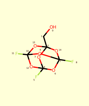 OCC12OC3(F)OC(F)(OC(F)(O3)O1)O2